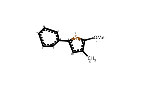 COc1sc(-c2ccccc2)cc1C